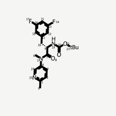 Cc1ccc(N(C)C(=O)[C@H](Cc2cc(F)cc(F)c2)NC(=O)OC(C)(C)C)cn1